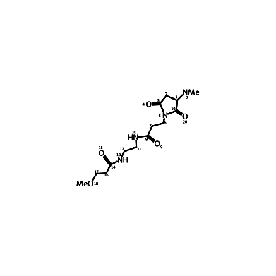 CNC1CC(=O)N(CCC(=O)NCCNC(=O)CCOC)C1=O